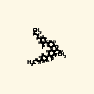 CCCCC1CCC(C2CCC(OC(CC)C3CCC(C4CCC(CCC)CC4)C(F)C3F)CC2)C(F)C1